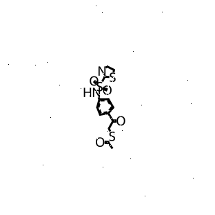 CC(=O)SCC(=O)c1ccc(NS(=O)(=O)C2=NCCS2)cc1